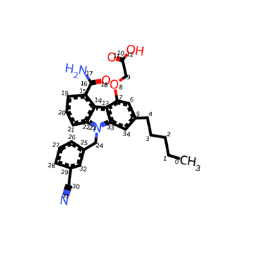 CCCCCc1cc(OCC(=O)O)c2c3c(C(N)=O)cccc3n(Cc3cccc(C#N)c3)c2c1